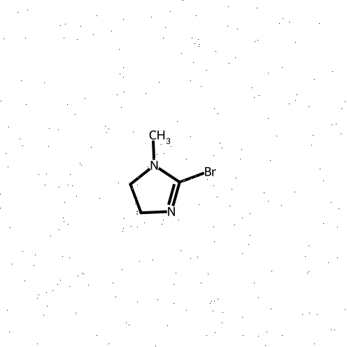 CN1C[C]N=C1Br